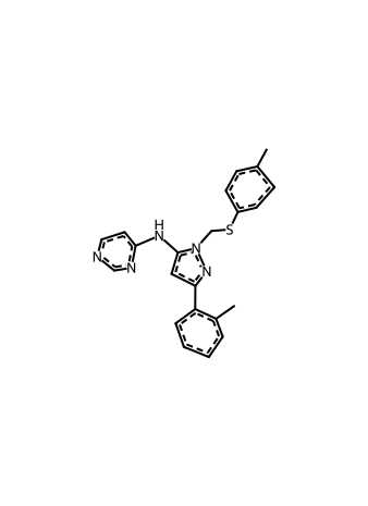 Cc1ccc(SCn2nc(-c3ccccc3C)cc2Nc2ccncn2)cc1